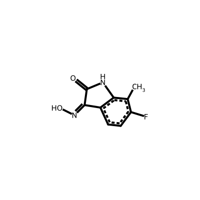 Cc1c(F)ccc2c1NC(=O)C2=NO